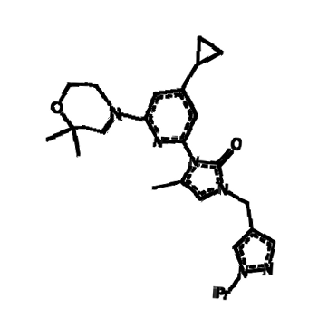 Cc1cn(Cc2cnn(C(C)C)c2)c(=O)n1-c1cc(C2CC2)cc(N2CCOC(C)(C)C2)n1